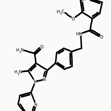 COc1ccccc1C(=O)NCc1ccc(-c2nn(-c3ccccn3)c(N)c2C(N)=O)cc1